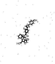 C#CC1CN(C(C=O)(NC(=O)c2ccc(-c3csc(N4CCN(C)CC4)n3)c(F)c2)C2CCCCC2)C2C(=O)COC12